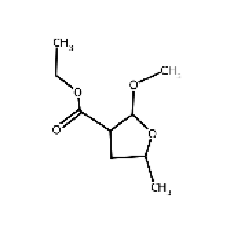 CCOC(=O)C1CC(C)OC1OC